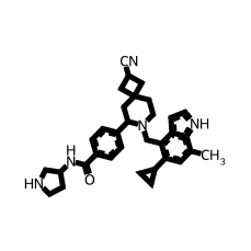 Cc1cc(C2CC2)c(CN2CCC3(CC(C#N)C3)CC2c2ccc(C(=O)NC3CCNC3)cc2)c2cc[nH]c12